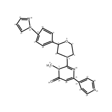 Cn1c(N2CCOC(c3ccc(-n4cccn4)cc3)C2)nc(-c2ccncc2)cc1=O